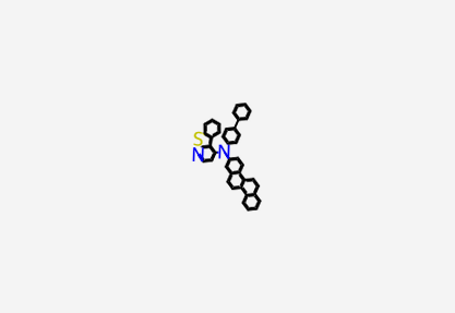 c1ccc(-c2ccc(N(c3ccc4c(ccc5c6ccccc6ccc45)c3)c3ccnc4sc5ccccc5c34)cc2)cc1